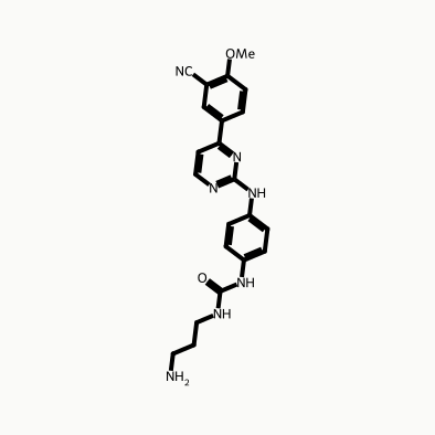 COc1ccc(-c2ccnc(Nc3ccc(NC(=O)NCCCN)cc3)n2)cc1C#N